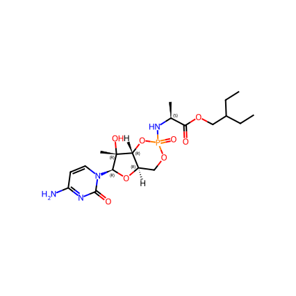 CCC(CC)COC(=O)[C@H](C)NP1(=O)OC[C@H]2O[C@@H](n3ccc(N)nc3=O)[C@](C)(O)[C@@H]2O1